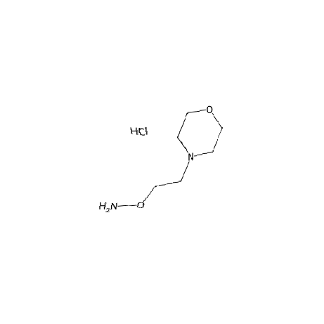 Cl.NOCCN1CCOCC1